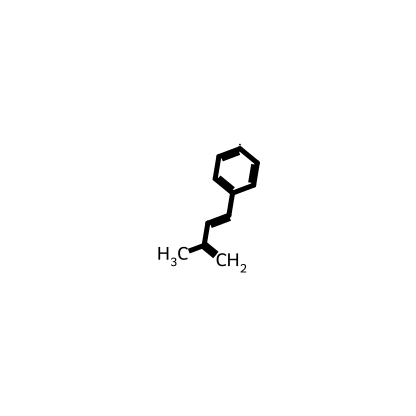 C=C(C)C=Cc1cc[c]cc1